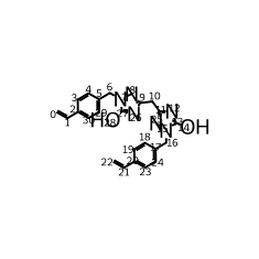 C=Cc1ccc(Cn2nc(Cc3nc(O)n(Cc4ccc(C=C)cc4)n3)nc2O)cc1